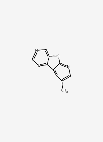 Cc1cnc2sc3cncnc3c2c1